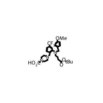 COc1ccc(CN(CCCC(=O)OC(C)(C)C)c2cc(C(F)(F)F)ccc2CN2CCN(C(=O)O)CC2)cc1